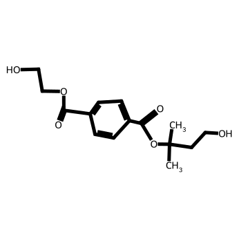 CC(C)(CCO)OC(=O)c1ccc(C(=O)OCCO)cc1